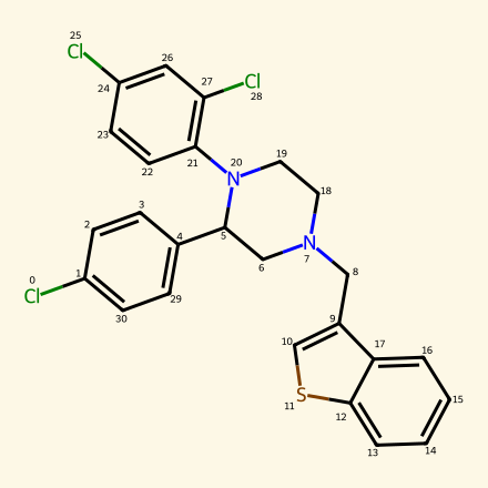 Clc1ccc(C2CN(Cc3csc4ccccc34)CCN2c2ccc(Cl)cc2Cl)cc1